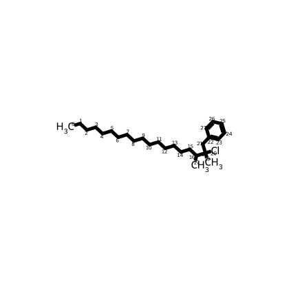 CCCCCCCCCCCCCCCCC(C)C(C)(Cl)Cc1ccccc1